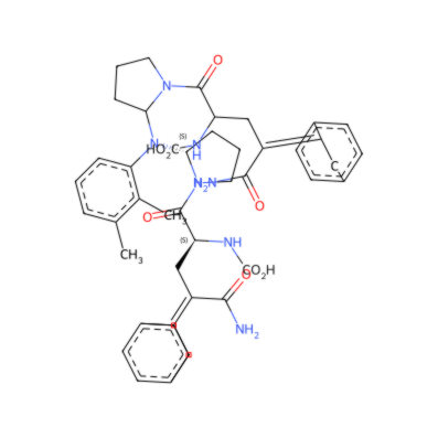 Cc1cccc(N(C2CCCN2C(=O)C(CC(C(N)=O)=C2Cc3ccc2cc3)NC(=O)O)[C@@H]2CCCN2C(=O)[C@H](CC(C(N)=O)=C2Cc3ccc2cc3)NC(=O)O)c1C